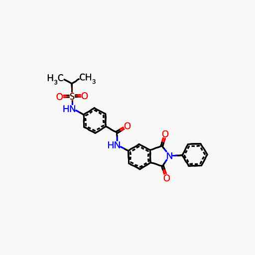 CC(C)S(=O)(=O)Nc1ccc(C(=O)Nc2ccc3c(c2)C(=O)N(c2ccccc2)C3=O)cc1